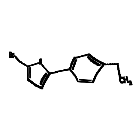 CCc1ccc(-c2ccc(Br)s2)cc1